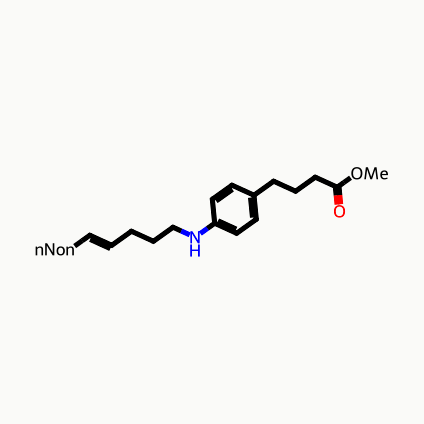 CCCCCCCCCC=CCCCNc1ccc(CCCC(=O)OC)cc1